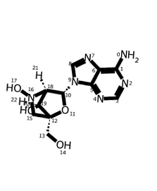 Nc1ncnc2c1ncn2[C@@H]1O[C@@]2(CO)CN(O)[C@@H]1[C@@H]2O